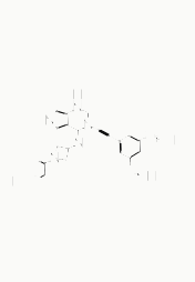 C=CC(=O)N1CC(NC2c3c[nH]cc3NCN2C#Cc2cc(OC)cc(OC)c2)C1